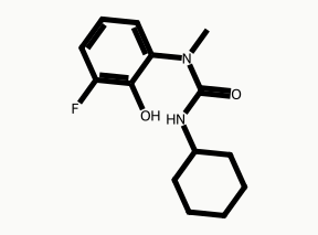 CN(C(=O)NC1CCCCC1)c1cccc(F)c1O